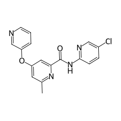 Cc1cc(Oc2cccnc2)cc(C(=O)Nc2ccc(Cl)cn2)n1